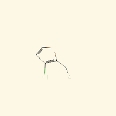 CC(=O)Cc1sccc1Cl